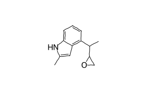 Cc1cc2c(C(C)C3CO3)cccc2[nH]1